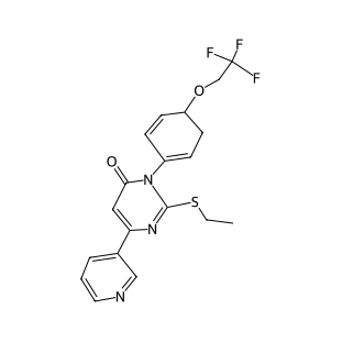 CCSc1nc(-c2cccnc2)cc(=O)n1C1=CCC(OCC(F)(F)F)C=C1